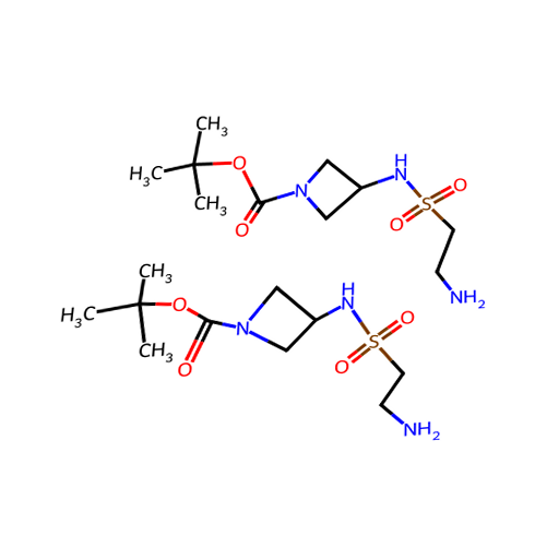 CC(C)(C)OC(=O)N1CC(NS(=O)(=O)CCN)C1.CC(C)(C)OC(=O)N1CC(NS(=O)(=O)CCN)C1